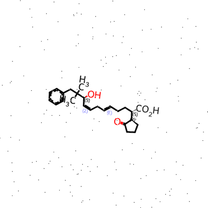 CC(C)(Cc1ccccc1)[C@@H](O)/C=C\C/C=C/CC[C@H](C(=O)O)[C@H]1CCCC1=O